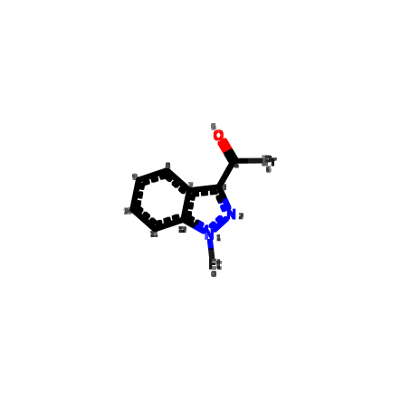 CCn1nc(C(=O)C(C)C)c2ccccc21